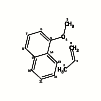 C=CC.COc1cccc2ccccc12